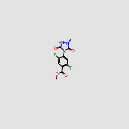 COC(=O)c1cc(F)c(-n2c(=O)[nH]n(C)c2=O)cc1F